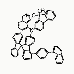 CC1(C)c2ccccc2-c2ccc(N(c3ccc4c(c3)C3(c5ccccc5-c5ccccc53)c3cccc(-c5ccc(-c6cccc7ccccc67)cc5)c3-4)c3cccc4ccccc34)cc21